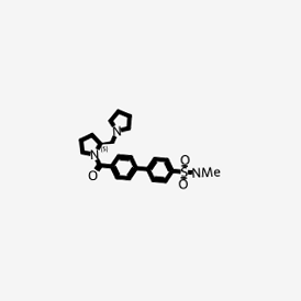 CNS(=O)(=O)c1ccc(-c2ccc(C(=O)N3CCC[C@H]3CN3CCCC3)cc2)cc1